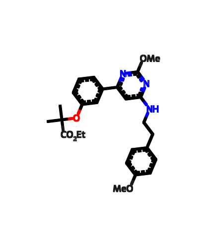 CCOC(=O)C(C)(C)Oc1cccc(-c2cc(NCCc3ccc(OC)cc3)nc(OC)n2)c1